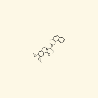 CCC(N(C)Cc1c(C)ccc2ccccc12)N1CCc2cc(OC)c(OC)cc2C1=O